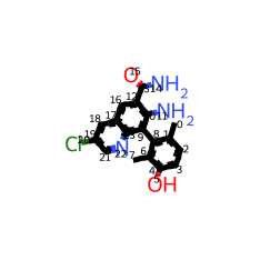 Cc1ccc(O)c(C)c1-c1c(N)c(C(N)=O)cc2cc(Cl)cnc12